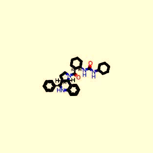 O=C(NC1CCCCC1)N[C@@H]1CCCC[C@@H]1C(=O)N1CC[C@@H]2[C@H](c3ccccc3)Nc3ccccc3[C@@H]21